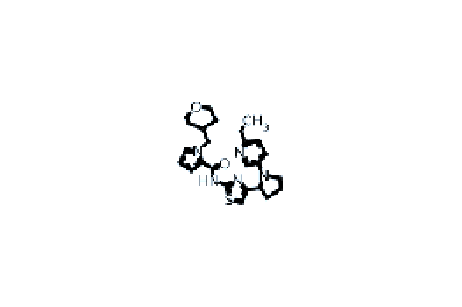 CCc1ccc(N2CCCC2c2csc(NC(=O)c3cccn3CC3CCOCC3)n2)cn1